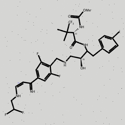 COC(=O)N[C@H](C(=O)NC(Cc1ccc(I)cc1)[C@@H](O)CNCc1c(F)cc(C(=N)/C=C\NCC(F)F)cc1F)C(C)(C)C(F)(F)F